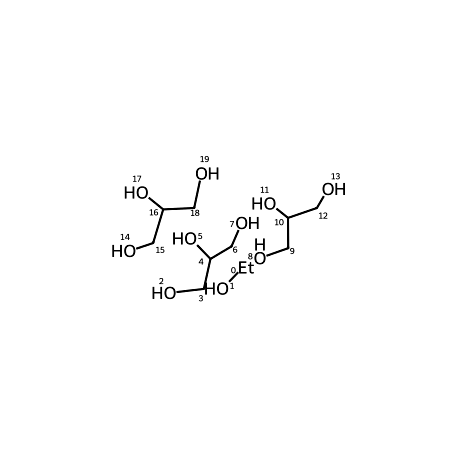 CCO.OCC(O)CO.OCC(O)CO.OCC(O)CO